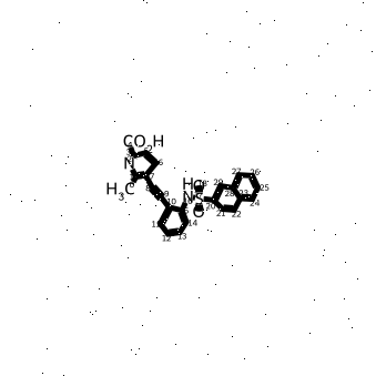 Cc1nc(C(=O)O)ccc1C#Cc1ccccc1NS(=O)(=O)c1ccc2ccccc2c1